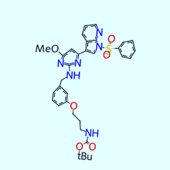 COc1cc(-c2cn(S(=O)(=O)c3ccccc3)c3ncccc23)nc(NCc2cccc(OCCCNC(=O)OC(C)(C)C)c2)n1